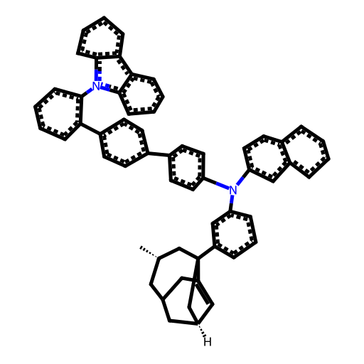 C[C@H]1CC2CC3=C[C@@H](C2)CC3(c2cccc(N(c3ccc(-c4ccc(-c5ccccc5-n5c6ccccc6c6ccccc65)cc4)cc3)c3ccc4ccccc4c3)c2)C1